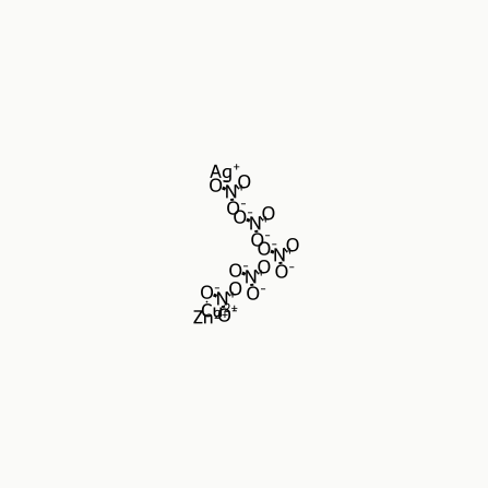 O=[N+]([O-])[O-].O=[N+]([O-])[O-].O=[N+]([O-])[O-].O=[N+]([O-])[O-].O=[N+]([O-])[O-].[Ag+].[Cu+2].[Zn+2]